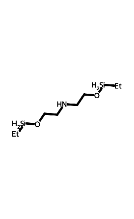 CC[SiH2]OCCNCCO[SiH2]CC